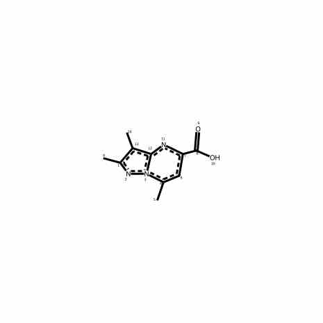 Cc1nn2c(C)cc(C(=O)O)nc2c1C